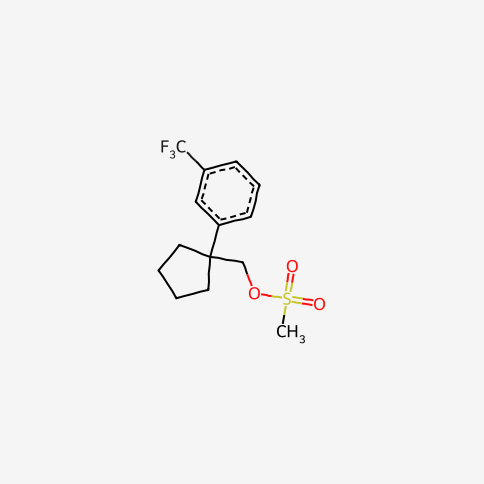 CS(=O)(=O)OCC1(c2cccc(C(F)(F)F)c2)CCCC1